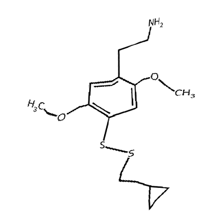 COc1cc(SSCC2CC2)c(OC)cc1CCN